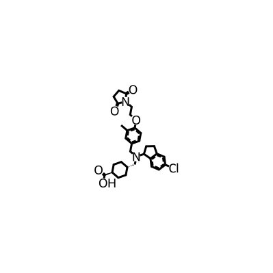 Cc1cc(CN(C[C@H]2CC[C@H](C(=O)O)CC2)C2CCc3cc(Cl)ccc32)ccc1OCCN1C(=O)CCC1=O